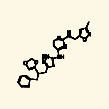 Cc1cc(CNc2nccc(Nc3cc(CC(Cc4ccccc4)C4=COCO4)n[nH]3)n2)on1